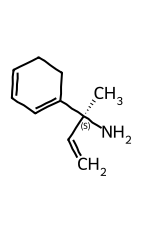 C=C[C@](C)(N)C1=CC=CCC1